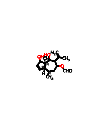 C=C(C)C1C(OC=O)C[C@@H](C)[C@@H]2C=CC(O)[C@@]2(C)[C@H]1O